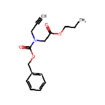 C#CCN(CC(=O)OCCC)C(=O)OCc1ccccc1